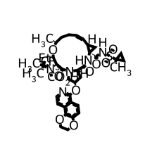 CC[C@@H]1O[C@H](C)CC/C=C\[C@@H]2C[C@@]2(C(=O)NS(=O)(=O)C2(C)CC2)NC(=O)[C@@H]2C[C@@H](Oc3nccc4c5c(ccc34)OCCO5)CN2C(=O)[C@H]1N(C(=O)O)C(C)(C)C(F)(F)F